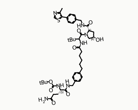 Cc1ncsc1-c1ccc(CNC(=O)[C@@H]2C[C@@H](O)CN2C(=O)C(NC(=O)CCCCCc2ccc(CNC(=O)[C@H](CCC(N)=O)NC(=O)OC(C)(C)C)cc2)C(C)(C)C)cc1